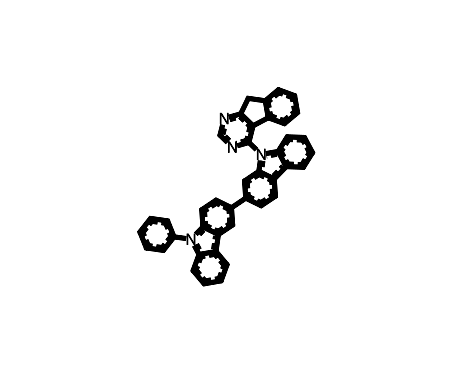 c1ccc(-n2c3ccccc3c3cc(-c4ccc5c6ccccc6n(-c6ncnc7c6-c6ccccc6C7)c5c4)ccc32)cc1